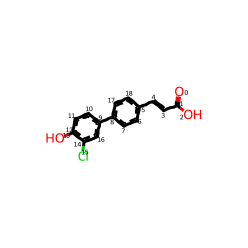 O=C(O)/C=C/c1ccc(-c2ccc(O)c(Cl)c2)cc1